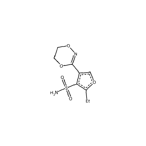 CCc1occ(C2=NOCCO2)c1S(N)(=O)=O